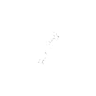 O=C(N[C@H]1CC[C@H](CCN2CCC(Oc3ccc(F)cc3Cl)CC2)CC1)Oc1ccnc2ccccc12